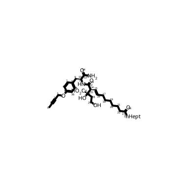 CC#CCOc1ccc(C[C@H](NC(=O)[C@@H](C=CCCCCCCC(=O)CCCCCCC)[C@@](O)(CCO)C(=O)O)C(N)=O)cc1